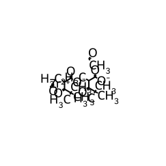 CC(C(=O)[O-])C(=O)C(C)(C)C.CC(C(=O)[O-])C(=O)C(C)(C)C.CC=O.[O]=[Zr+2]